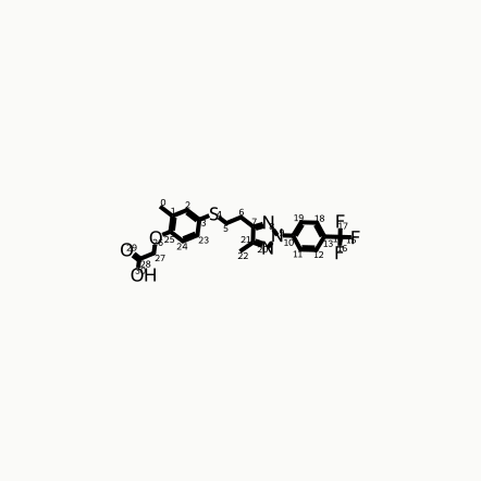 Cc1cc(SCCc2nn(-c3ccc(C(F)(F)F)cc3)nc2C)ccc1OCC(=O)O